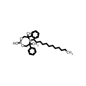 CCCCCCCCCCCCN1C(C)(c2ccccc2)COB(O)OCC1(C)c1ccccc1